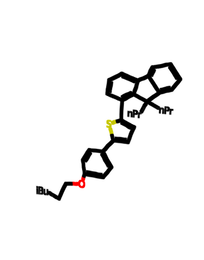 CCCC1(CCC)c2ccccc2-c2cccc(-c3ccc(-c4ccc(OCCC(C)CC)cc4)s3)c21